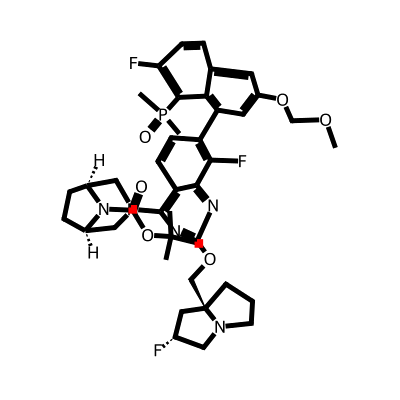 COCOc1cc(-c2ccc3c(N4C[C@H]5CC[C@@H](C4)N5C(=O)OC(C)(C)C)nc(OC[C@@]45CCCN4C[C@H](F)C5)nc3c2F)c2c(P(C)(C)=O)c(F)ccc2c1